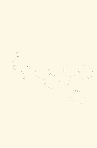 C=C(/C=N\c1ccc(C(C(=O)n2nc(-c3ccccc3)c(-c3ccccc3)c2C)=C(C)C)cc1C)OC